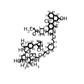 C=CC(=O)N1CCN(c2nc(OCCN3CCC(OCCOCC(=O)N[C@H](C(=O)N4C[C@H](O)C[C@H]4C(=O)N[C@@H](C)c4ccc(-c5scnc5C)cc4)C(C)(C)C)CC3)nc3c(F)c(-c4cc(O)cc5ccccc45)c(Cl)cc23)CC1